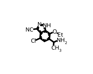 CCOc1c(C(C)N)cc(Cl)c2c(C#N)n[nH]c12